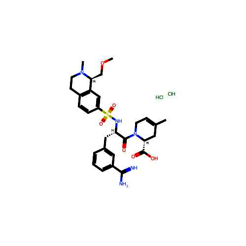 COC[C@H]1c2cc(S(=O)(=O)N[C@@H](Cc3cccc(C(=N)N)c3)C(=O)N3CC=C(C)C[C@@H]3C(=O)O)ccc2CCN1C.Cl.Cl